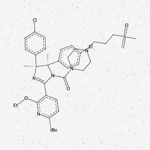 C=S(C)(=O)CCCN1CCN(C(=O)N2C(c3ccc(C(C)(C)C)nc3OCC)=N[C@@](C)(c3ccc(Cl)cc3)[C@@]2(C)c2ccc(Cl)cc2)CC1